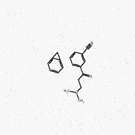 CN(C)CCC(=O)c1cccc(C#N)c1.c1ccc2c(c1)C2